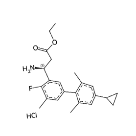 CCOC(=O)C[C@H](N)c1cc(-c2c(C)cc(C3CC3)cc2C)cc(C)c1F.Cl